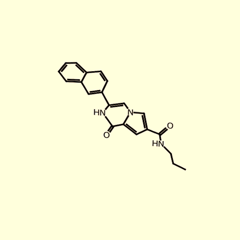 CCCNC(=O)c1cc2c(=O)[nH]c(-c3ccc4ccccc4c3)cn2c1